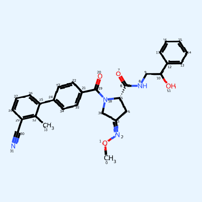 CO/N=C1/C[C@@H](C(=O)NCC(O)c2ccccc2)N(C(=O)c2ccc(-c3cccc(C#N)c3C)cc2)C1